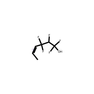 C/C=C\C(F)(F)C(F)C(O)(F)F